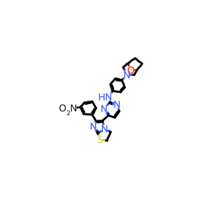 O=[N+]([O-])c1cccc(-c2nc3n(c2-c2ccnc(Nc4ccc(N5CC6CCC(C5)O6)cc4)n2)CCS3)c1